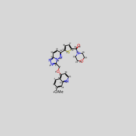 COc1ccc2c(OCc3nnc4ccc(-c5ccc(C(=O)N6CCOCC6)s5)nn34)ccnc2c1